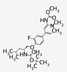 C=N/C(=C\C(=C/C)c1ccc(OC[C@H](CC(C)C)NC(=O)OC(C)(C)C)c(F)c1)NC(=O)OC